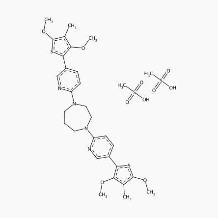 COc1sc(-c2ccc(N3CCCN(c4ccc(-c5sc(OC)c(C)c5OC)cn4)CC3)nc2)c(OC)c1C.CS(=O)(=O)O.CS(=O)(=O)O